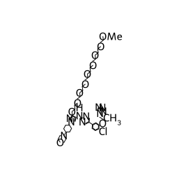 COCCOCCOCCOCCOCCOCCOCCOCCOc1nn([C@H]2CC[C@H](N3CCOCC3)CC2)cc1Nc1ncc(-c2ccc(Cl)c(O[C@@H](C)Cn3cnnn3)c2)cn1